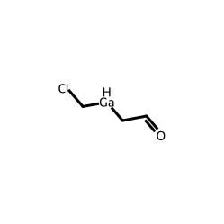 O=C[CH2][GaH][CH2]Cl